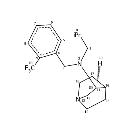 CC(C)CN(Cc1ccccc1C(F)(F)F)[C@@H]1CN2CCC1CC2